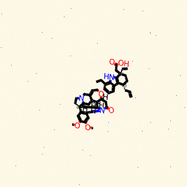 C=CC[C@H]1CC[C@@](CC)(CC(=O)O)c2[nH]c3c(CC)cccc3c21.COc1cc2c(cc1OC)[C@@]13CCN4CC5=CCO[C@H]6CC(=O)N2[C@H]1[C@H]6[C@H]5C[C@H]43